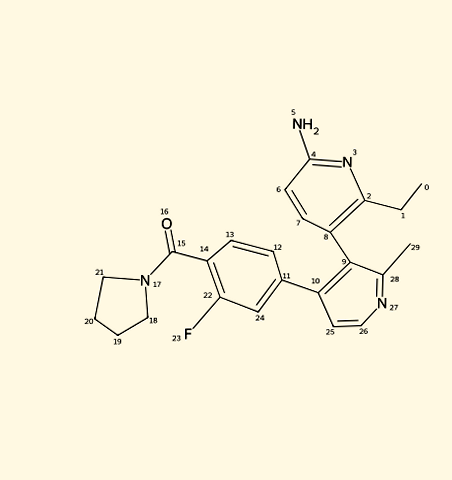 CCc1nc(N)ccc1-c1c(-c2ccc(C(=O)N3CCCC3)c(F)c2)ccnc1C